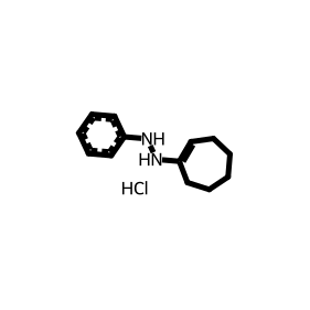 C1=C(NNc2ccccc2)CCCCC1.Cl